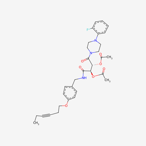 CCC#CCCOc1ccc(CNC(=O)[C@H](OC(C)=O)[C@@H](OC(C)=O)C(=O)N2CCN(c3ccccc3F)CC2)cc1